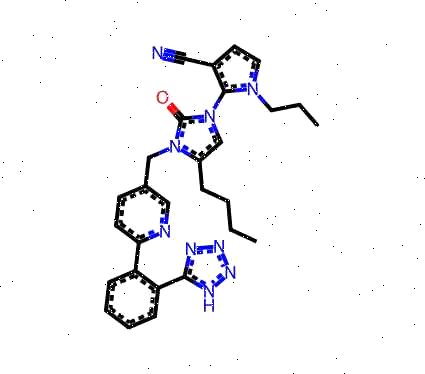 CCCCc1cn(-c2c(C#N)ccn2CCC)c(=O)n1Cc1ccc(-c2ccccc2-c2nnn[nH]2)nc1